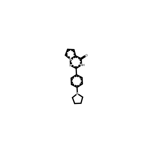 O=c1[nH]c(-c2ccc(N3CCCC3)cc2)nn2cccc12